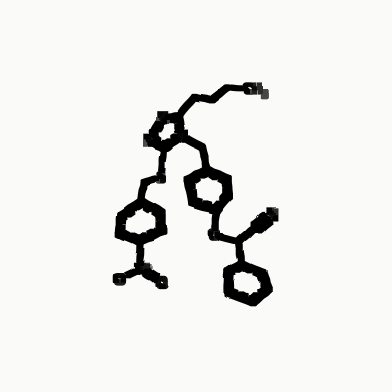 CCCCc1nnc(SCc2ccc([N+](=O)[O-])cc2)n1Cc1ccc(OC(C#N)c2ccccc2)cc1